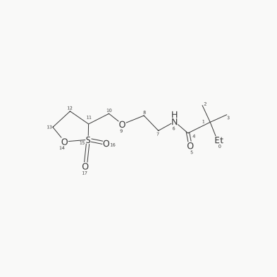 CCC(C)(C)C(=O)NCCOCC1CCOS1(=O)=O